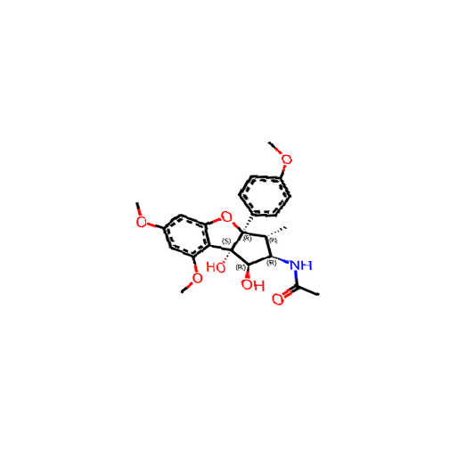 COc1ccc([C@@]23Oc4cc(OC)cc(OC)c4[C@]2(O)[C@H](O)[C@H](NC(C)=O)[C@H]3C)cc1